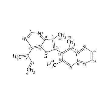 C=CC(=C)c1ncnc2c(C)c(-c3c(C)cc4ccccc4c3C)sc12